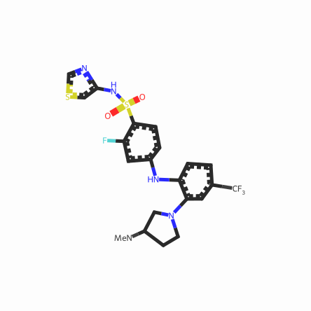 CNC1CCN(c2cc(C(F)(F)F)ccc2Nc2ccc(S(=O)(=O)Nc3cscn3)c(F)c2)C1